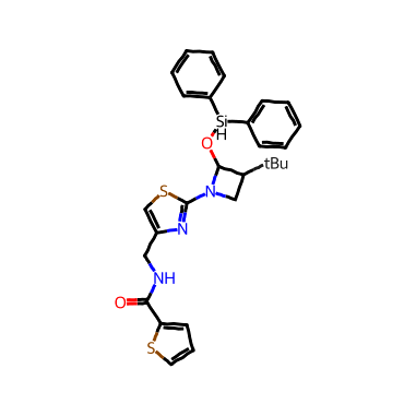 CC(C)(C)C1CN(c2nc(CNC(=O)c3cccs3)cs2)C1O[SiH](c1ccccc1)c1ccccc1